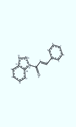 O=C(/C=C/c1ccccc1)n1nnc2ccccc21